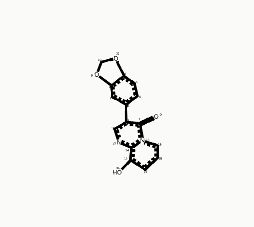 O=c1c(-c2ccc3c(c2)OCO3)cnc2c(O)cccn12